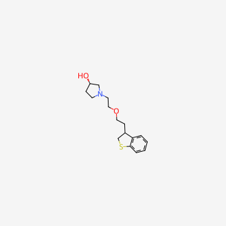 O[C@@H]1CCN(CCOCCC2CSc3ccccc32)C1